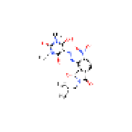 CC(C)CN1C(=O)c2ccc([N+](=O)[O-])c(N=Nc3c(O)n(C)c(=O)n(C)c3=O)c2C1=O